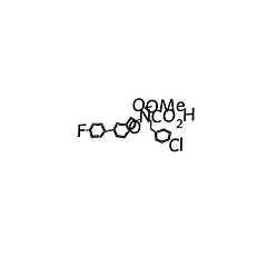 COC(=O)N(c1cc2cc(-c3ccc(F)cc3)ccc2o1)[C@H](Cc1ccc(Cl)cc1)C(=O)O